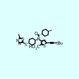 Cc1nnc(S[C@H]2CC[C@H](N(c3cc(C#CC(C)(C)C)sc3C(=O)O)C(=O)[C@H]3CC[C@H](C)CC3)CC2)s1